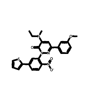 CCN(C)c1cc(-c2cccc(OC)c2)nn(-c2cc(-c3cccs3)ccc2[N+](=O)[O-])c1=O